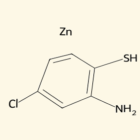 Nc1cc(Cl)ccc1S.[Zn]